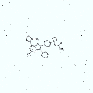 Cn1nccc1-c1cc(Cl)nn2c(-c3ccccc3)c(-c3ccc(C4(OC(N)=O)CCC4)cc3)nc12